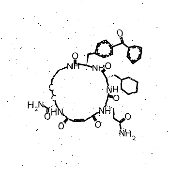 NC(=O)CC[C@@H]1NC(=O)C=CC(=O)N[C@H](C(N)=O)CCCCNC(=O)[C@@H](Cc2ccc(C(=O)c3ccccc3)cc2)NC(=O)[C@H](CC2CCCCC2)NC1=O